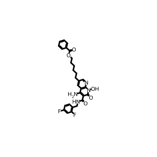 Nc1c(C(=O)NCc2ccc(F)cc2F)c(=O)n(O)c2ncc(CCCCCCOC(=O)c3ccccc3)cc12